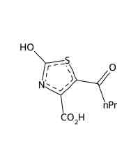 CCCC(=O)c1sc(O)nc1C(=O)O